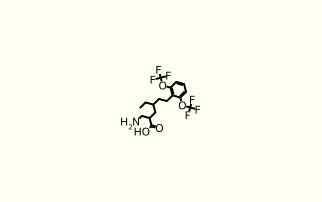 CCC(CCc1c(OC(F)(F)F)cccc1OC(F)(F)F)CC(CN)C(=O)O